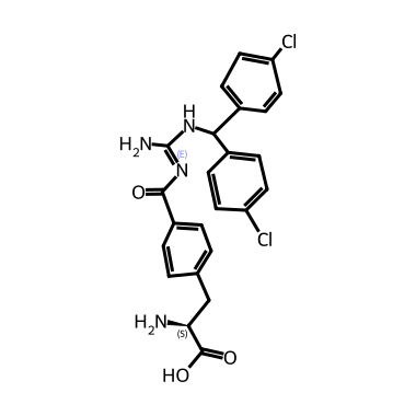 N/C(=N\C(=O)c1ccc(C[C@H](N)C(=O)O)cc1)NC(c1ccc(Cl)cc1)c1ccc(Cl)cc1